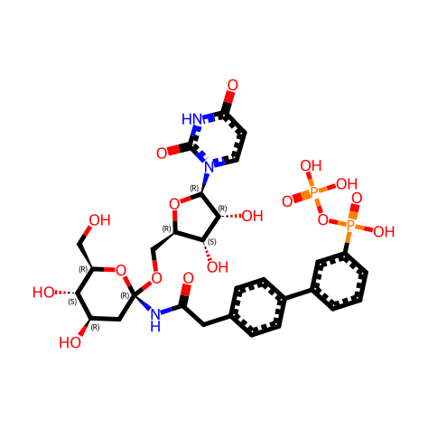 O=C(Cc1ccc(-c2cccc(P(=O)(O)OP(=O)(O)O)c2)cc1)N[C@@]1(OC[C@H]2O[C@@H](n3ccc(=O)[nH]c3=O)[C@H](O)[C@@H]2O)C[C@@H](O)[C@H](O)[C@@H](CO)O1